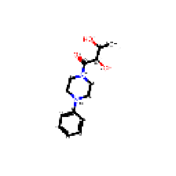 CC(O)[C@@H](O)C(=O)N1CCN(c2ccccc2)CC1